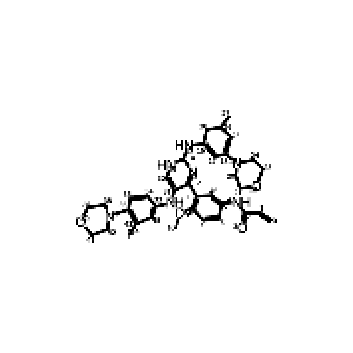 C=CC(=O)Nc1ccc(OC)c(C2=NC(NC3=CC(N4CCOCC4)=CC(C)C3)NC=C2Nc2ccc(N3CCOCC3)c(F)c2)c1